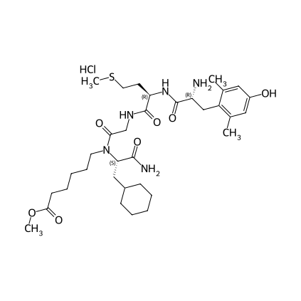 COC(=O)CCCCCN(C(=O)CNC(=O)[C@@H](CCSC)NC(=O)[C@H](N)Cc1c(C)cc(O)cc1C)[C@@H](CC1CCCCC1)C(N)=O.Cl